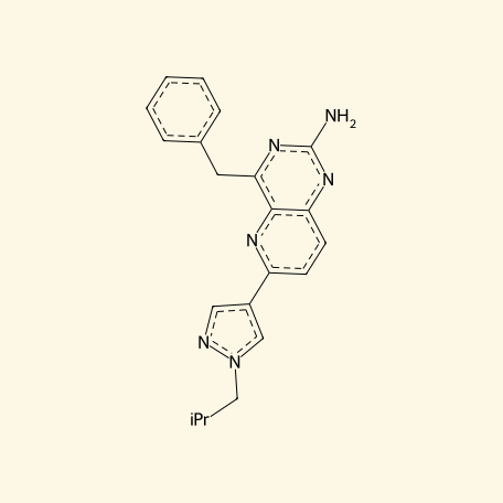 CC(C)Cn1cc(-c2ccc3nc(N)nc(Cc4ccccc4)c3n2)cn1